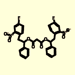 O=C(CC(=O)OC(Cc1ccc(F)cc1[N+](=O)[O-])c1ccccc1)OC(Cc1ccc(F)cc1[N+](=O)[O-])c1ccccc1